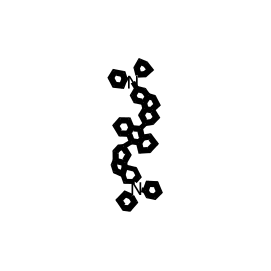 C1=C(N(c2ccccc2)c2ccccc2)Cc2ccc3ccc(-c4c5ccccc5c(-c5ccc6ccc7cc(N(c8ccccc8)c8ccccc8)ccc7c6c5)c5ccccc45)cc3c2C1